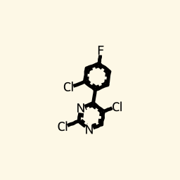 Fc1ccc(-c2nc(Cl)ncc2Cl)c(Cl)c1